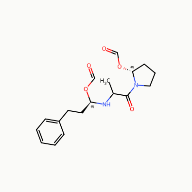 CC(N[C@@H](CCc1ccccc1)OC=O)C(=O)N1CCC[C@H]1OC=O